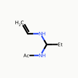 C=CNC(CC)NC(C)=O